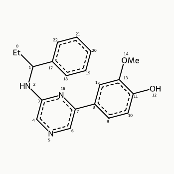 CCC(Nc1cncc(-c2ccc(O)c(OC)c2)n1)c1ccccc1